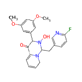 COc1cc(OC)cc(C2C(=O)C3=CC=CCN3C(Cc3ccc(F)nc3)N2O)c1